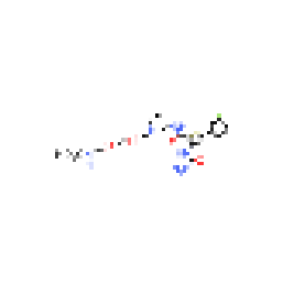 NC(=O)Nc1cc(-c2cccc(F)c2)sc1C(=O)NC1CCCN(CCOCCOCCNC(=O)O)C1